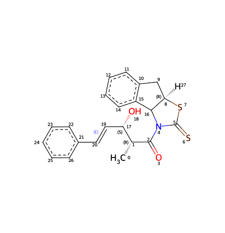 C[C@@H](C(=O)N1C(=S)S[C@@H]2Cc3ccccc3C21)[C@@H](O)/C=C/c1ccccc1